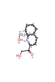 O=C(CO)c1ccc2ccccc2n1.O=S(=O)(O)O